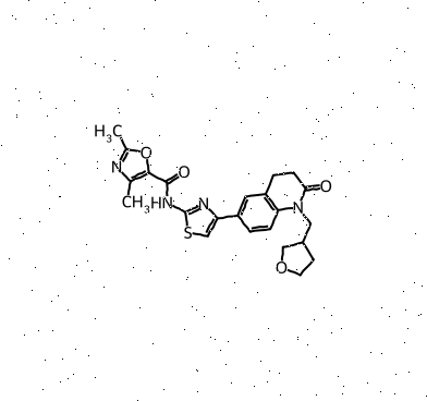 Cc1nc(C)c(C(=O)Nc2nc(-c3ccc4c(c3)CCC(=O)N4CC3CCOC3)cs2)o1